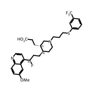 COc1ccc2nccc([C@H](F)CC[C@@H]3CCN(CCCSc4cccc(C(F)(F)F)c4)C[C@H]3CCC(=O)O)c2c1